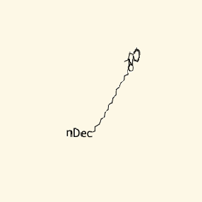 CCCCCCCCCCCCCCCCCCCCCCCCCCCCON1c2ccccc2CC1C